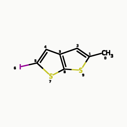 Cc1cc2cc(I)sc2s1